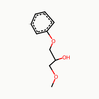 COCC(O)COc1c[c]ccc1